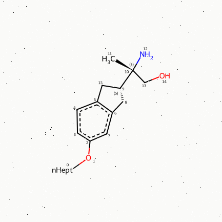 CCCCCCCOc1ccc2c(c1)C[C@@H]([C@](C)(N)CO)C2